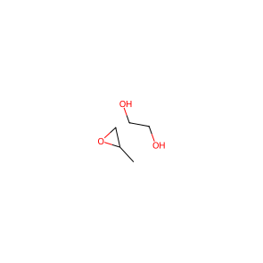 CC1CO1.OCCO